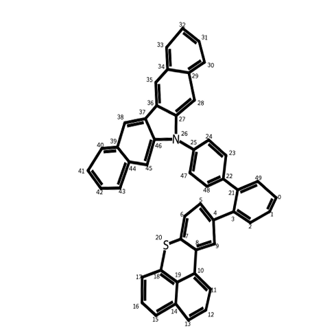 c1ccc(-c2ccc3c(c2)-c2cccc4cccc(c24)S3)c(-c2ccc(-n3c4cc5ccccc5cc4c4cc5ccccc5cc43)cc2)c1